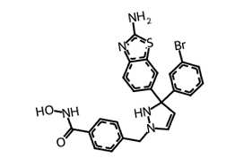 Nc1nc2ccc(C3(c4cccc(Br)c4)C=CN(Cc4ccc(C(=O)NO)cc4)N3)cc2s1